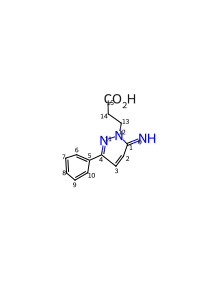 N=c1ccc(-c2ccccc2)nn1CCC(=O)O